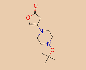 CC(C)(C)ON1CCN(C2=COC(=O)C2)CC1